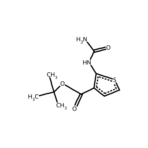 CC(C)(C)OC(=O)c1ccsc1NC(N)=O